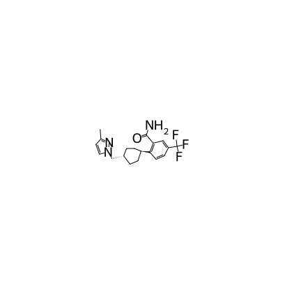 Cc1ccn(C[C@H]2CC[C@H](c3ccc(C(F)(F)F)cc3C(N)=O)CC2)n1